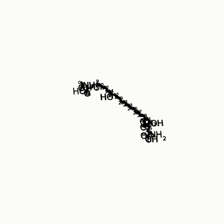 CC(=O)N[C@@H](CCO[C@H](C)C/C=C/CC[C@@H](O)C/C=C/C=C/C=C/C=C/C=C/C=C/c1cc(O)c(CC[C@H](N)C(=O)O)c(=O)o1)C(=O)O